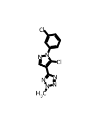 Cn1nnc(-c2cnn(-c3cccc(Cl)c3)c2Cl)n1